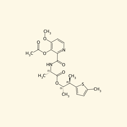 COc1ccnc(C(=O)N[C@@H](C)C(=O)O[C@@H](C)[C@@H](C)c2ccc(C)s2)c1OC(C)=O